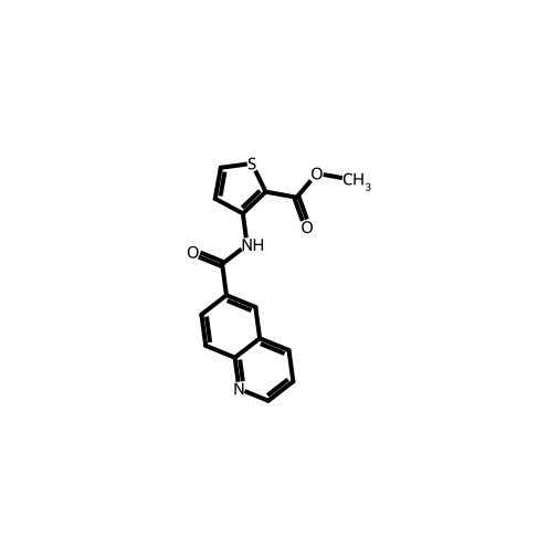 COC(=O)c1sccc1NC(=O)c1ccc2ncccc2c1